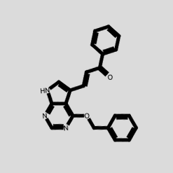 O=C(C=Cc1c[nH]c2ncnc(OCc3ccccc3)c12)c1ccccc1